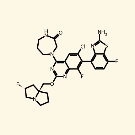 Nc1nc2c(-c3c(Cl)cc4c(N5CCCNC(=O)C5)nc(OC[C@@]56CCCN5C[C@H](F)C6)nc4c3F)ccc(F)c2s1